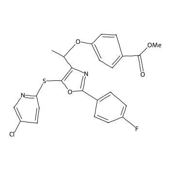 COC(=O)c1ccc(OC(C)c2nc(-c3ccc(F)cc3)oc2Sc2ccc(Cl)cn2)cc1